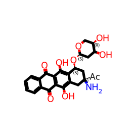 CC(=O)[C@]1(N)Cc2c(O)c3c(c(O)c2[C@@H](O[C@H]2CC(O)[C@H](O)CO2)C1)C(=O)c1ccccc1C3=O